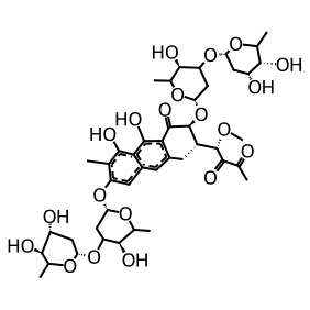 CO[C@H](C(=O)C(C)=O)[C@@H]1Cc2cc3cc(O[C@H]4CC(O[C@H]5C[C@@H](O)[C@H](O)C(C)O5)[C@H](O)C(C)O4)c(C)c(O)c3c(O)c2C(=O)[C@H]1O[C@H]1CC(O[C@H]2C[C@@H](O)[C@@H](O)C(C)O2)[C@H](O)C(C)O1